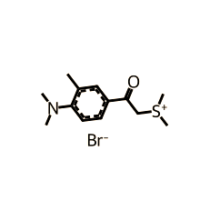 Cc1cc(C(=O)C[S+](C)C)ccc1N(C)C.[Br-]